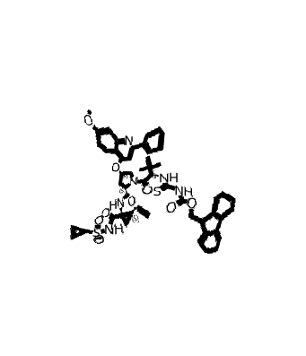 C=C[C@@H]1C[C@]1(NC(=O)[C@@H]1C[C@@H](Oc2cc(-c3ccccc3)nc3cc(OC)ccc23)CN1C(=O)[C@@H](NC(=S)NC(=O)OCC1c2ccccc2-c2ccccc21)C(C)(C)C)C(=O)NS(=O)(=O)C1CC1